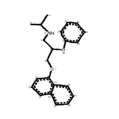 CC(C)NCC(COc1cccc2ccccc12)Oc1ccccc1